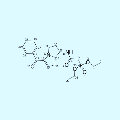 CCOP(=O)(CC(=O)NC1CCn2c(C(=O)c3ccccc3)ccc21)OCC